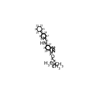 C[Si](C)(C)CCOCn1nnc2cc(NCc3ccc(C4CCCCC4)cn3)ccc21